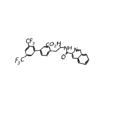 O=C(N[C@@H](Cc1ccc(-c2cc(C(F)(F)F)cc(C(F)(F)F)c2)cc1)C(=O)O)c1cc2ccccc2cn1